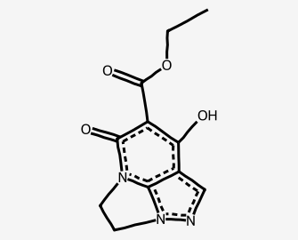 CCOC(=O)c1c(O)c2cnn3c2n(c1=O)CC3